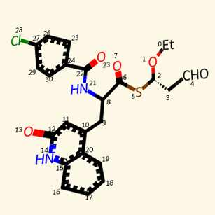 CCO[C@H](CC=O)SC(=O)C(Cc1cc(=O)[nH]c2ccccc12)NC(=O)c1ccc(Cl)cc1